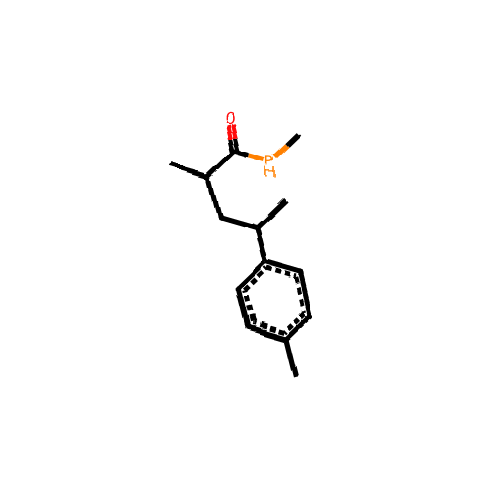 CPC(=O)C(C)CC(C)c1ccc(C)cc1